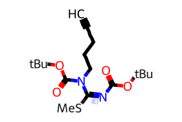 C#CCCCN(C(=O)OC(C)(C)C)/C(=N\C(=O)OC(C)(C)C)SC